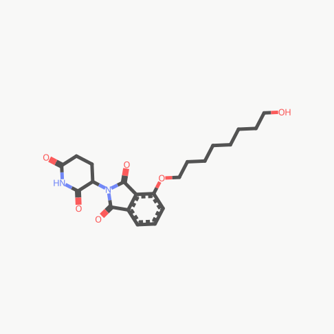 O=C1CCC(N2C(=O)c3cccc(OCCCCCCCCO)c3C2=O)C(=O)N1